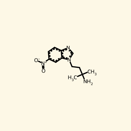 CC(C)(N)CCn1cnc2ccc([N+](=O)[O-])cc21